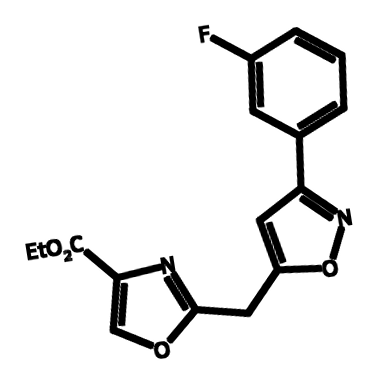 CCOC(=O)c1coc(Cc2cc(-c3cccc(F)c3)no2)n1